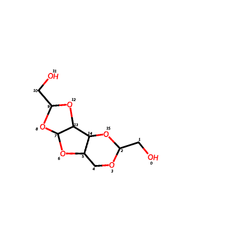 OCC1OCC2OC3OC(CO)OC3C2O1